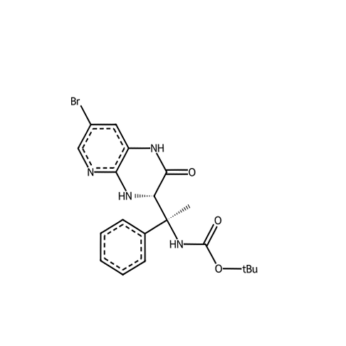 CC(C)(C)OC(=O)N[C@@](C)(c1ccccc1)[C@@H]1Nc2ncc(Br)cc2NC1=O